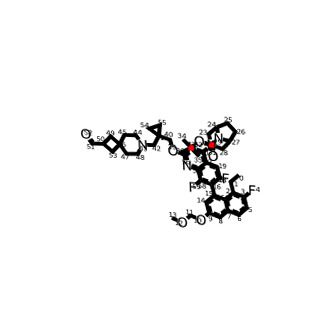 CCc1c(F)ccc2cc(OCOC)cc(-c3c(F)cc4c(N5CC6CCC(C5)N6C(=O)OC(C)(C)C)nc(OCC5(CN6CCC7(CC6)CC(C=O)C7)CC5)nc4c3F)c12